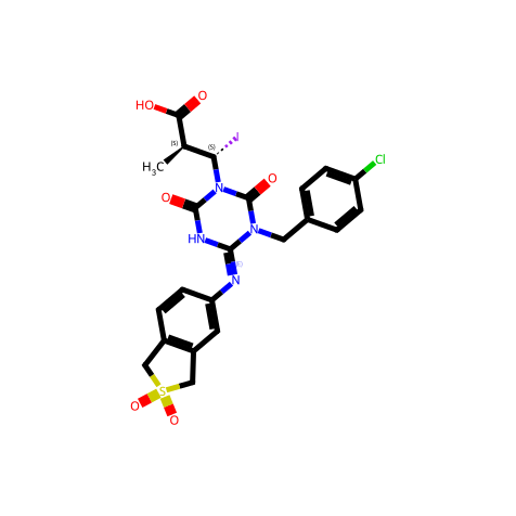 C[C@@H](C(=O)O)[C@H](I)n1c(=O)[nH]/c(=N\c2ccc3c(c2)CS(=O)(=O)C3)n(Cc2ccc(Cl)cc2)c1=O